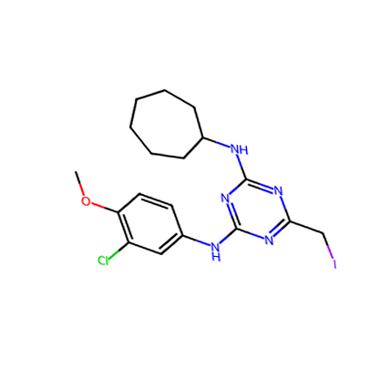 COc1ccc(Nc2nc(CI)nc(NC3CCCCCC3)n2)cc1Cl